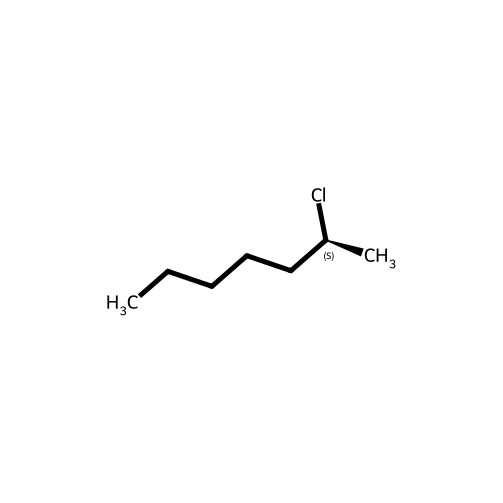 CCCCC[C@H](C)Cl